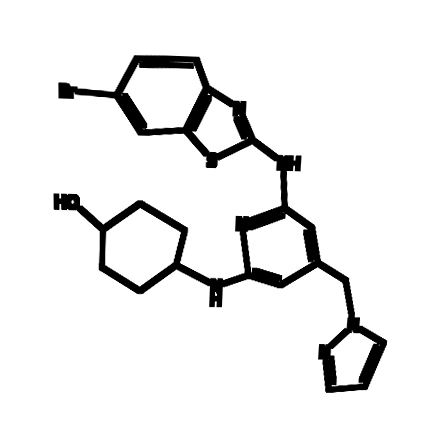 OC1CCC(Nc2cc(Cn3cccn3)cc(Nc3nc4ccc(Br)cc4s3)n2)CC1